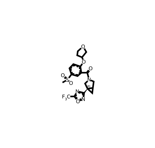 CS(=O)(=O)c1ccc(OC2CCOC2)c(C(=O)N2CC3C[C@]3(c3noc(C(F)(F)F)n3)C2)c1